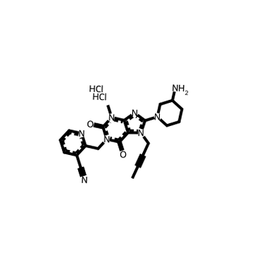 CC#CCn1c(N2CCCC(N)C2)nc2c1c(=O)n(Cc1ncccc1C#N)c(=O)n2C.Cl.Cl